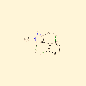 Cc1nn(C)c(Br)c1-c1c(F)cccc1F